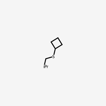 CC(C)CSC1CCC1